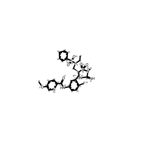 CCN(C[C@@H]1[C@](C)(c2cc(NC(=O)c3ccc(OC)cn3)ccc2F)NC(=N)N(C)S1(=O)=O)S(=O)(=O)c1ccccc1